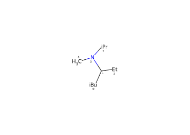 CCC(C)C(CC)N(C)C(C)C